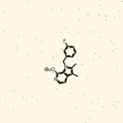 Cc1c(C)n(Cc2cccc(F)c2)c2c(OCC(C)C)nccc12